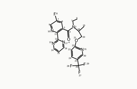 CCN(C(=O)c1cc(F)cnc1-c1ncccn1)C(C)COc1ccc(C(F)(F)F)cn1